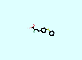 O=C(O)C(Cl)CCc1ccc(Sc2ccccc2)cc1